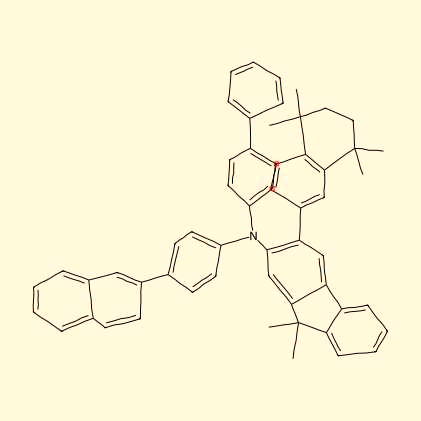 CC1(C)CCC(C)(C)c2cc(-c3cc4c(cc3N(c3ccc(-c5ccccc5)cc3)c3ccc(-c5ccc6ccccc6c5)cc3)C(C)(C)c3ccccc3-4)ccc21